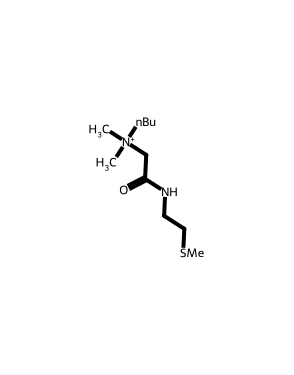 CCCC[N+](C)(C)CC(=O)NCCSC